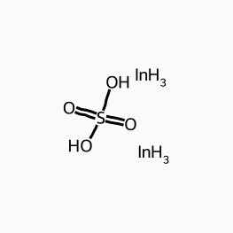 O=S(=O)(O)O.[InH3].[InH3]